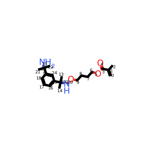 C=C(C)C(=O)OCCCCONC(C)(C)c1cccc(C(C)(C)N)c1